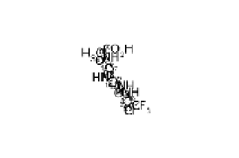 CC(NC(=O)c1ccc2c3c([nH]c2c1)CCC(NC(=O)Nc1ccc(Cl)c(C(F)(F)F)c1)C3)C(=O)O